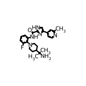 Cc1cc(-c2c[nH]c(C(=O)Nc3cccc(F)c3N3CCC(C(C)(C)N)CC3)n2)ccn1